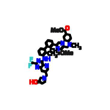 COC(=O)C1CCC(N(C)Cc2ncc(-c3cccc(-c4cccc(Nc5nc(C(F)F)nc6cc(CN7CC[C@@H](O)C7)cnc56)c4C)c3C)nc2OC)CC1